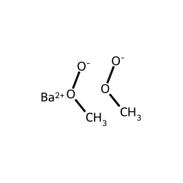 CO[O-].CO[O-].[Ba+2]